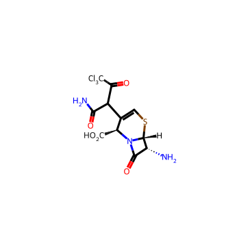 NC(=O)C(C(=O)C(Cl)(Cl)Cl)C1=CS[C@@H]2[C@H](N)C(=O)N2[C@H]1C(=O)O